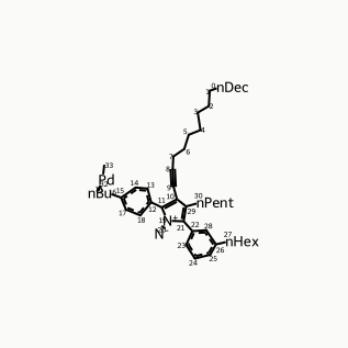 CCCCCCCCCCCCCCCCCC#CC1=C(c2ccc(CCCC)cc2)[N+](=[N-])C(c2cccc(CCCCCC)c2)=C1CCCCC.[CH3][Pd][CH3]